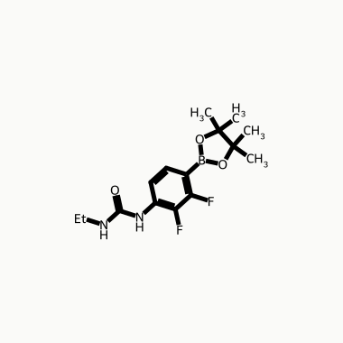 CCNC(=O)Nc1ccc(B2OC(C)(C)C(C)(C)O2)c(F)c1F